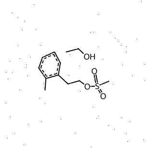 CCO.Cc1ccccc1CCOS(C)(=O)=O